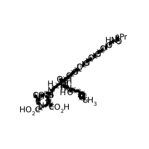 CCCC(=O)NCCOCCOCCOCCOCCOCCOCCOCCOCCNC(=O)C(CCCCNC(=O)CN1CCN(CC(=O)O)CCN(CC(=O)O)CCN(CC(=O)O)CC1)NC(=O)CNC(=O)CCCc1ccc(C)cc1